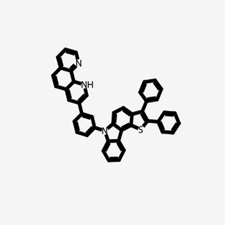 C1=Cc2cccnc2C2NC=C(c3cccc(-n4c5ccccc5c5c6sc(-c7ccccc7)c(-c7ccccc7)c6ccc54)c3)C=C12